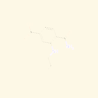 CCCNc1cc(C(=O)O)ccc1C(N)=O